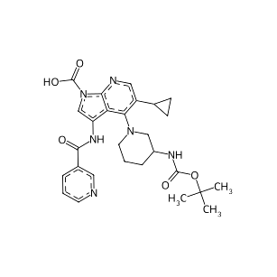 CC(C)(C)OC(=O)NC1CCCN(c2c(C3CC3)cnc3c2c(NC(=O)c2cccnc2)cn3C(=O)O)C1